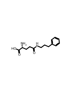 N[C@@H](CCC(=O)NCCCc1ccccc1)C(=O)O